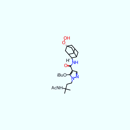 CC(=O)NC(C)(C)CCn1ncc(C(=O)N[C@H]2C3CC4CC2C[C@](OO)(C4)C3)c1OCC(C)C